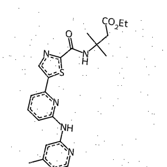 CCOC(=O)CC(C)(C)NC(=O)c1ncc(-c2cccc(Nc3cc(C)ccn3)n2)s1